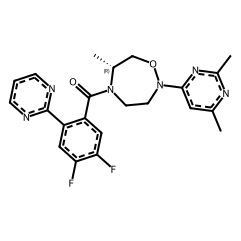 Cc1cc(N2CCN(C(=O)c3cc(F)c(F)cc3-c3ncccn3)[C@H](C)CO2)nc(C)n1